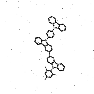 Cc1cc(C)c(-n2c3ccccc3c3cc(-c4ccc5c(c4)c4ccccc4n5-c4ccc(-n5c6ccccc6c6ccccc65)cc4)ccc32)c(C)c1